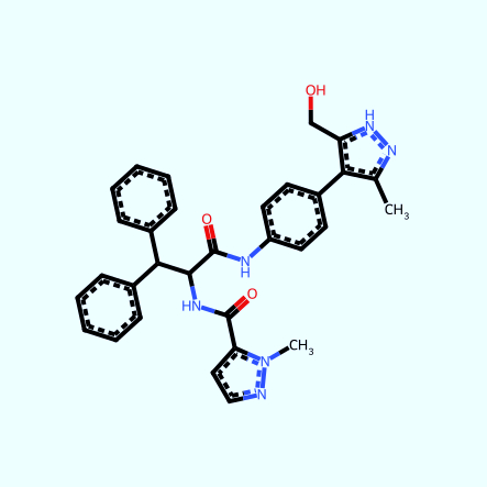 Cc1n[nH]c(CO)c1-c1ccc(NC(=O)C(NC(=O)c2ccnn2C)C(c2ccccc2)c2ccccc2)cc1